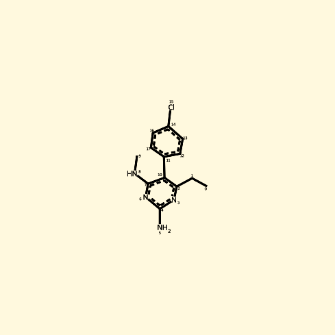 CCc1nc(N)nc(NC)c1-c1ccc(Cl)cc1